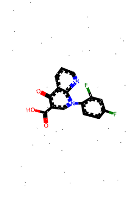 O=C(O)c1cn(-c2ccc(F)cc2F)c2ncccc2c1=O